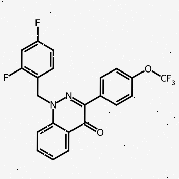 O=c1c(-c2ccc(OC(F)(F)F)cc2)nn(Cc2ccc(F)cc2F)c2ccccc12